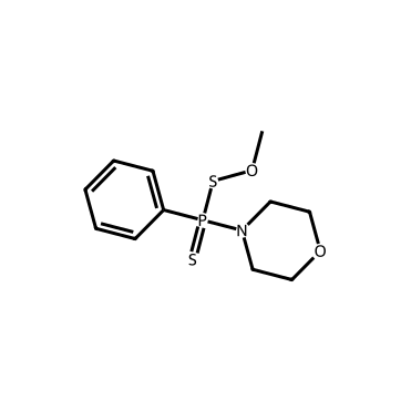 COSP(=S)(c1ccccc1)N1CCOCC1